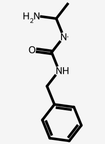 CC(N)[N]C(=O)NCc1ccccc1